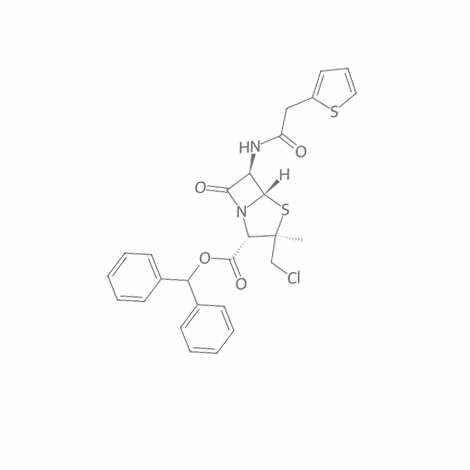 C[C@@]1(CCl)S[C@H]2[C@H](NC(=O)Cc3cccs3)C(=O)N2[C@H]1C(=O)OC(c1ccccc1)c1ccccc1